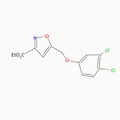 CCOC(=O)c1cc(COc2ccc(Cl)c(Cl)c2)on1